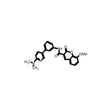 COc1cccc2cc(C(=O)Nc3cccc(-c4ccc(N(C)C)nc4)c3)c(=O)oc12